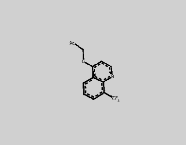 CC(=O)COc1ccnc2c(C(F)(F)F)cccc12